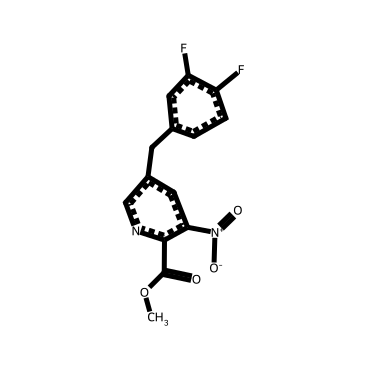 COC(=O)c1ncc(Cc2ccc(F)c(F)c2)cc1[N+](=O)[O-]